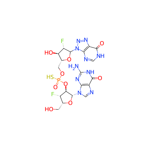 Nc1nc2c(ncn2[C@@H]2O[C@H](CO)[C@H](F)[C@H]2OP(=O)(S)OC[C@H]2OC(n3nnc4c(=O)[nH]cnc43)[C@@H](F)[C@@H]2O)c(=O)[nH]1